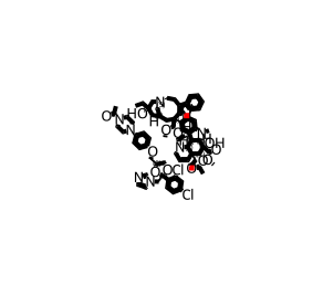 CC(=O)N1CCN(c2ccc(OC[C@H]3CO[C@](Cn4ccnc4)(c4ccc(Cl)cc4Cl)O3)cc2)CC1.CC[C@]1(O)C[C@@H]2C[N@@](CCc3c([nH]c4ccccc34)[C@@](C(=O)OC)(c3cc4c(cc3OC)N(C)[C@H]3[C@@](O)(C(=O)OC)[C@H](OC(C)=O)[C@]5(CC)C=CCN6CC[C@]43[C@@H]65)C2)C1